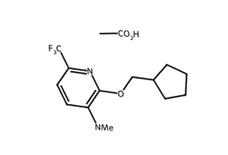 CC(=O)O.CNc1ccc(C(F)(F)F)nc1OCC1CCCC1